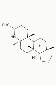 C[C@@]12CCC[C@H]1[C@@H]1CC[C@H]3NC(C=O)CC[C@]3(C)[C@H]1CC2